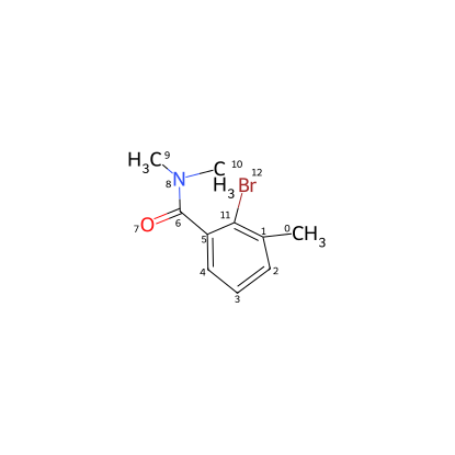 Cc1cccc(C(=O)N(C)C)c1Br